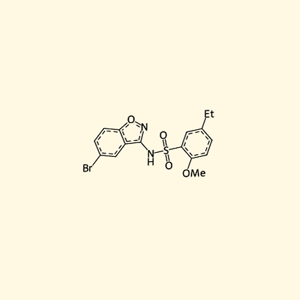 CCc1ccc(OC)c(S(=O)(=O)Nc2noc3ccc(Br)cc23)c1